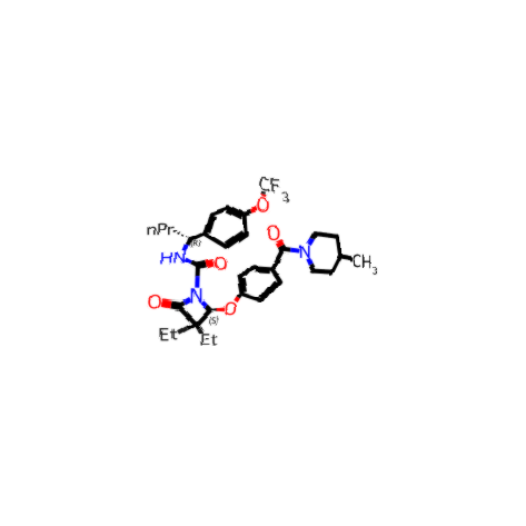 CCC[C@@H](NC(=O)N1C(=O)C(CC)(CC)[C@@H]1Oc1ccc(C(=O)N2CCC(C)CC2)cc1)c1ccc(OC(F)(F)F)cc1